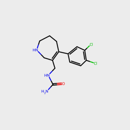 NC(=O)NCC1=C(c2ccc(Cl)c(Cl)c2)CCCNC1